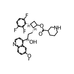 COc1ccc2nccc([C@@H](O)CC[C@H]3C(OC(=O)C4CCCNC4)C[C@H]3c3c(F)ccc(F)c3F)c2c1